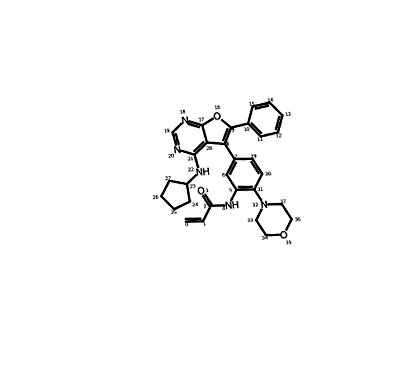 C=CC(=O)Nc1cc(-c2c(-c3ccccc3)oc3ncnc(NC4CCCC4)c23)ccc1N1CCOCC1